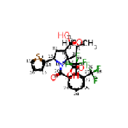 CC(C)CC1(C(=O)O)C(C(=O)O)CC(c2cccs2)N1C(=O)c1cccc(C(F)(F)F)c1C(F)(F)F